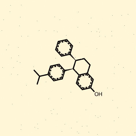 CC(C)c1ccc([C@@H]2c3ccc(O)cc3CC[C@@H]2c2ccccc2)cc1